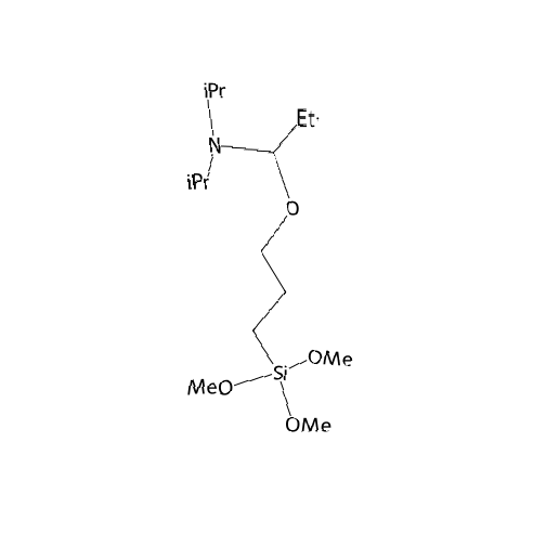 C[CH]C(OCCC[Si](OC)(OC)OC)N(C(C)C)C(C)C